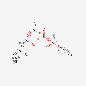 O=[Si]([O-])[O-].O=[Si]([O-])[O-].O=[Si]([O-])[O-].O=[Si]([O-])[O-].O=[Si]([O-])[O-].[Ag+].[Ag+].[Al+3].[Al+3].[Na+].[Na+]